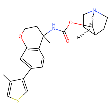 Cc1cscc1-c1ccc2c(c1)OCCC2(C)NC(=O)O[C@H]1CN2CCC1CC2